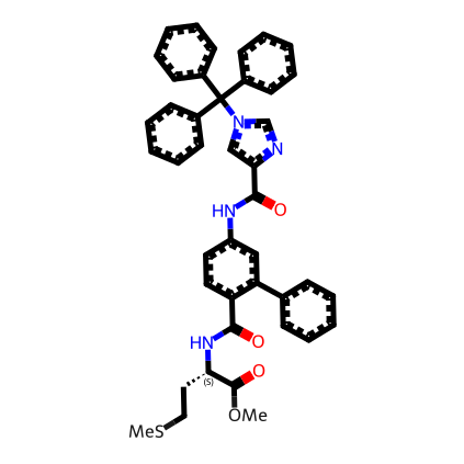 COC(=O)[C@H](CCSC)NC(=O)c1ccc(NC(=O)c2cn(C(c3ccccc3)(c3ccccc3)c3ccccc3)cn2)cc1-c1ccccc1